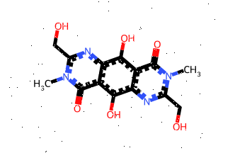 Cn1c(CO)nc2c(O)c3c(=O)n(C)c(CO)nc3c(O)c2c1=O